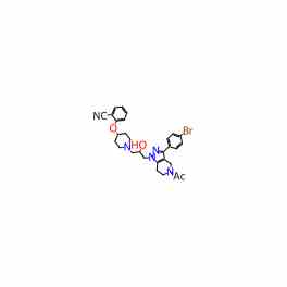 CC(=O)N1CCc2c(c(-c3ccc(Br)cc3)nn2CC(O)CN2CCC(Oc3ccccc3C#N)CC2)C1